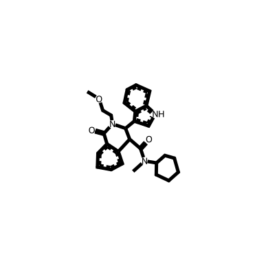 COCCN1C(=O)c2ccccc2C(C(=O)N(C)C2CCCCC2)C1c1c[nH]c2ccccc12